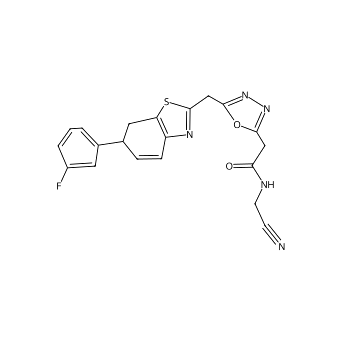 N#CCNC(=O)Cc1nnc(Cc2nc3c(s2)CC(c2cccc(F)c2)C=C3)o1